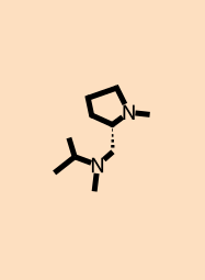 CC(C)N(C)C[C@@H]1CCCN1C